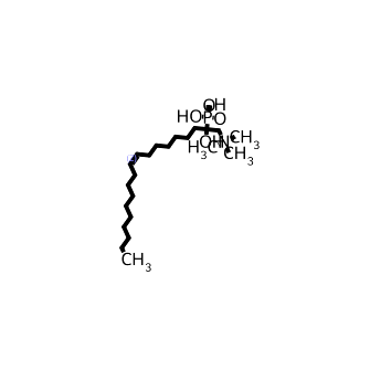 CCCCCCCCC/C=C\CCCCCCC(O)(C[N+](C)(C)C)P(=O)(O)O